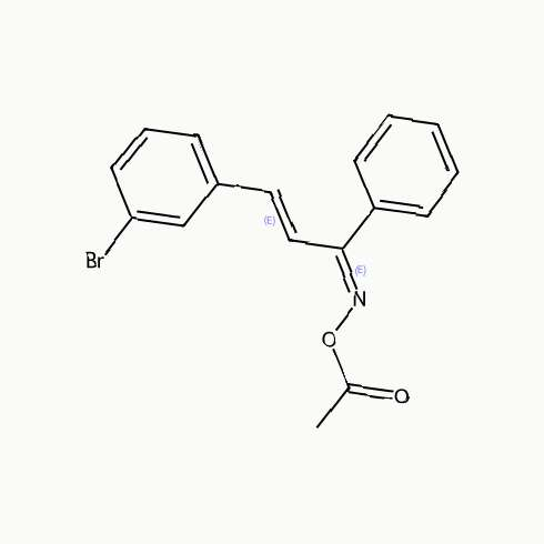 CC(=O)O/N=C(\C=C\c1cccc(Br)c1)c1ccccc1